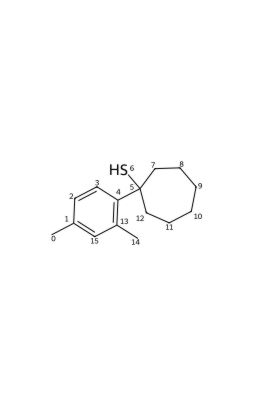 Cc1ccc(C2(S)CCCCCC2)c(C)c1